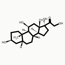 C[C@]12CC[C@H](O)C[C@H]1CC[C@@H]1[C@@H]2[C@@H](O)C[C@@]2(C)[C@H]1CC[C@]2(O)C(=O)CO